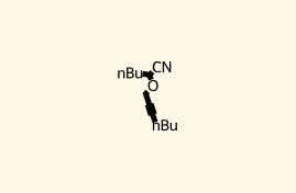 CCCCC#CCOC(C#N)CCCC